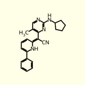 Cc1cnc(NC2CCCC2)nc1C(C#N)=C1C=CC=C(c2ccccc2)N1